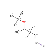 CCCCC(O[Si](CC)(CC)CC)C(C)(C)C=CI